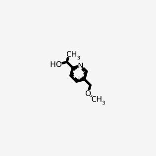 COCc1ccc(C(C)O)nc1